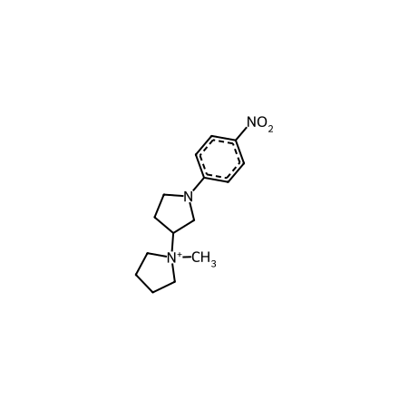 C[N+]1(C2CCN(c3ccc([N+](=O)[O-])cc3)C2)CCCC1